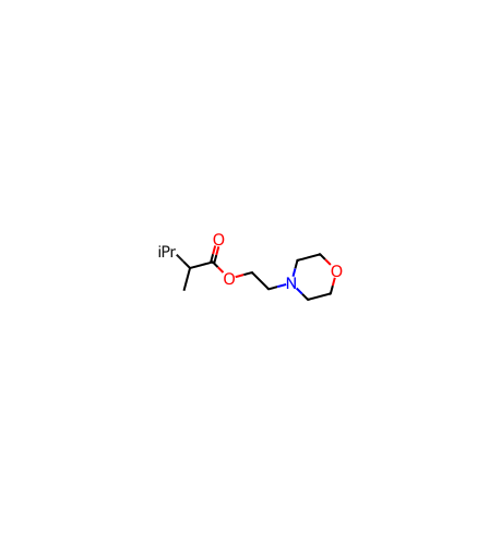 CC(C)C(C)C(=O)OCCN1CCOCC1